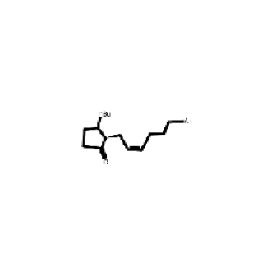 CCCCC1CCC(=O)[C@@H]1C/C=C\CCCC(C)=O